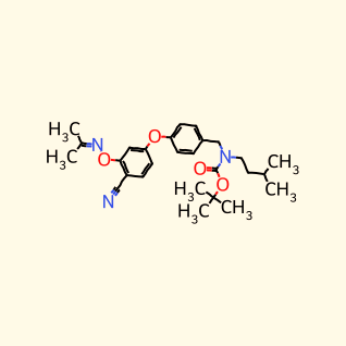 CC(C)=NOc1cc(Oc2ccc(CN(CCC(C)C)C(=O)OC(C)(C)C)cc2)ccc1C#N